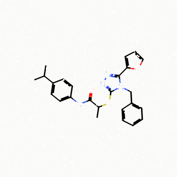 CC(Sc1nnc(-c2ccco2)n1Cc1ccccc1)C(=O)Nc1ccc(C(C)C)cc1